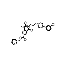 Cn1c(=O)n(CCCN2CCN(c3cccc(Cl)c3)CC2)c(=O)c2cc(C(=O)OCc3ccccc3)sc21